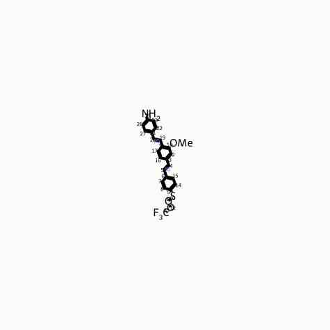 COc1cc(/C=C/c2ccc(SOOC(F)(F)F)cc2)ccc1/C=C/c1ccc(N)cc1